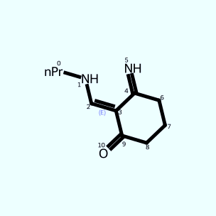 CCCN/C=C1\C(=N)CCCC1=O